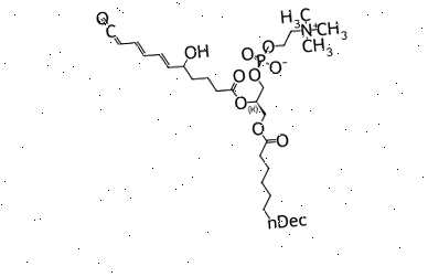 CCCCCCCCCCCCCCCC(=O)OC[C@H](COP(=O)([O-])OCC[N+](C)(C)C)OC(=O)CCCC(O)C=CC=CC=C=O